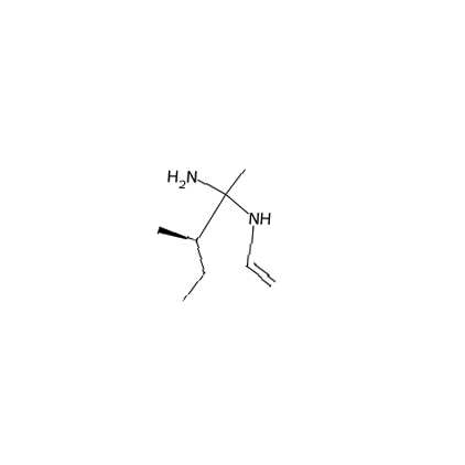 C=CNC(C)(N)[C@H](C)CC